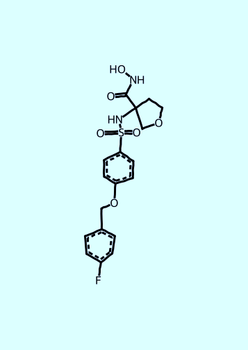 O=C(NO)C1(NS(=O)(=O)c2ccc(OCc3ccc(F)cc3)cc2)CCOC1